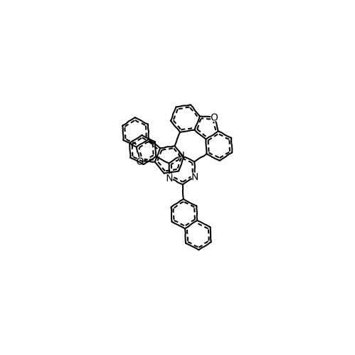 c1ccc(-c2nc(-c3ccc4ccccc4c3)nc(-c3cccc4oc5cccc(-c6cccc7oc8ccccc8c67)c5c34)n2)cc1